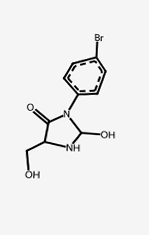 O=C1C(CO)NC(O)N1c1ccc(Br)cc1